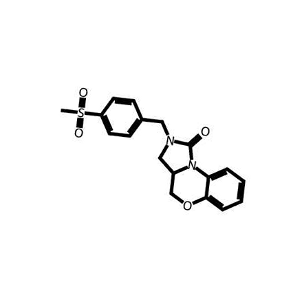 CS(=O)(=O)c1ccc(CN2CC3COc4ccccc4N3C2=O)cc1